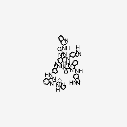 CNC(=O)c1nc(Nc2ccc3[nH]ncc3c2)c2ccccc2n1.O=C(Nc1ccccn1)c1nc(Nc2ccc3[nH]ncc3c2)c2ccccc2n1.O=C(Nc1cnc2ccccc2c1)c1nc(Nc2ccc3[nH]ncc3c2)c2ccccc2n1